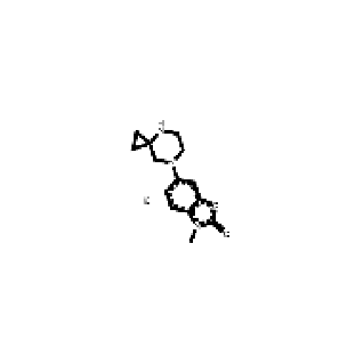 Cl.Cn1c(=O)oc2cc(N3CCNC4(CC4)C3)ccc21